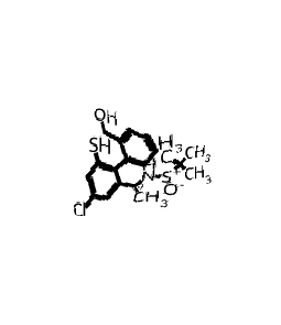 C[C@H](N[S+]([O-])C(C)(C)C)c1cc(Cl)cc(S)c1-c1ccccc1CO